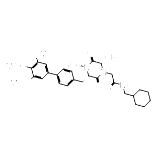 CCCCN1C(=O)[C@H](C)N(CC(=O)NCC2CCCCC2)C(=O)[C@H]1Cc1ccc(-c2cc(OC)c(OC)c(OC)c2)cc1